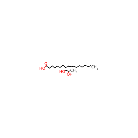 CC(O)CO.CCCCCCCC/C=C/CCCCCCCC(=O)O